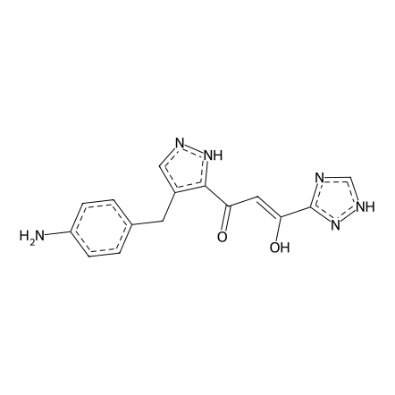 Nc1ccc(Cc2cn[nH]c2C(=O)C=C(O)c2nc[nH]n2)cc1